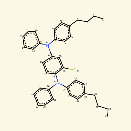 CCCCc1ccc(N(c2ccccc2)c2ccc(N(c3ccccc3)c3ccc(CCCC)cc3)c(F)c2)cc1